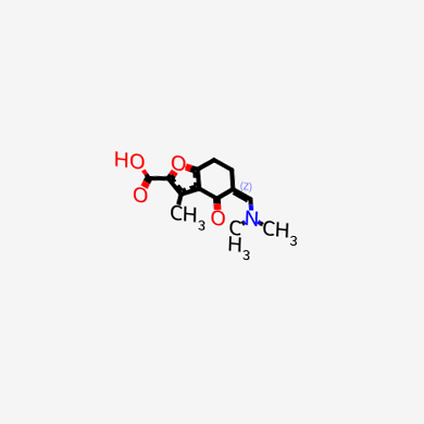 Cc1c(C(=O)O)oc2c1C(=O)/C(=C\N(C)C)CC2